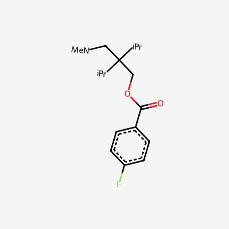 CNCC(COC(=O)c1ccc(F)cc1)(C(C)C)C(C)C